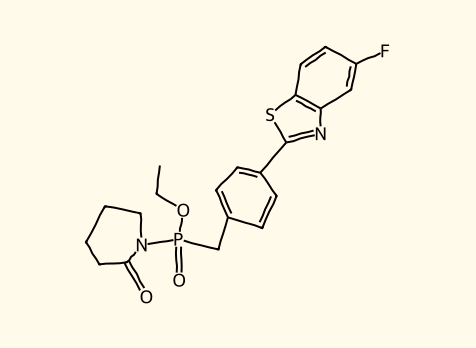 CCOP(=O)(Cc1ccc(-c2nc3cc(F)ccc3s2)cc1)N1CCCCC1=O